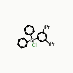 CC(C)c1cc(C(C)C)cc([Si](Cl)(c2ccccc2)c2ccccc2)c1